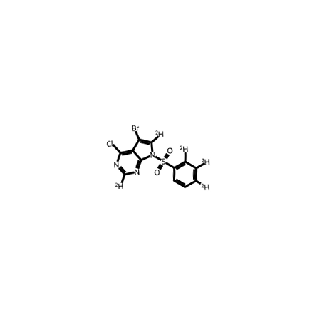 [2H]c1nc(Cl)c2c(Br)c([2H])n(S(=O)(=O)c3ccc([2H])c([2H])c3[2H])c2n1